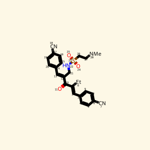 CC/C(=C\c1ccc(C#N)cc1)C(=O)/C(=C/c1ccc(C#N)cc1)CNS(=O)(=O)CCNC